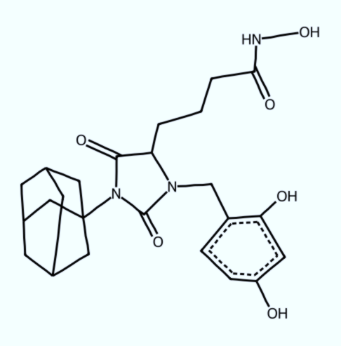 O=C(CCCC1C(=O)N(C23CC4CC(CC(C4)C2)C3)C(=O)N1Cc1ccc(O)cc1O)NO